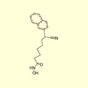 N#CC(CCCCCC(=O)NO)c1ccc2ccccc2c1